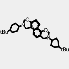 CC(C)(C)C1CCC(N2COc3c(ccc4c5c(ccc34)OCN(C3CCC(C(C)(C)C)CC3)C5)C2)CC1